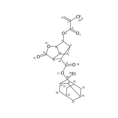 C=C(C(=O)OC1C2CC3C1OC(=O)C3C2C(=O)OC1(CC)C2CC3CC(C2)CC1C3)C(F)(F)F